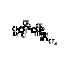 O=C(CCC(F)(F)F)NNC(=O)c1ccc(C(F)=CC(c2cc(Cl)c(Br)c(Cl)c2)C(F)(F)F)cc1C(F)(F)F